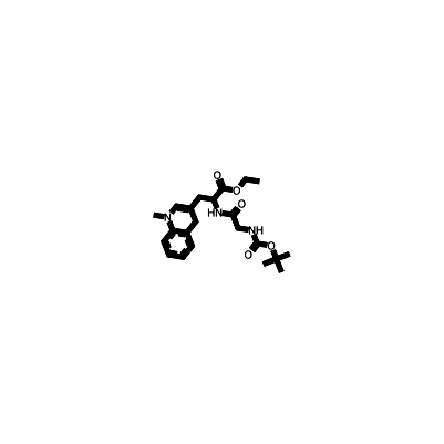 CCOC(=O)C(CC1=CN(C)c2ccccc2C1)NC(=O)CNC(=O)OC(C)(C)C